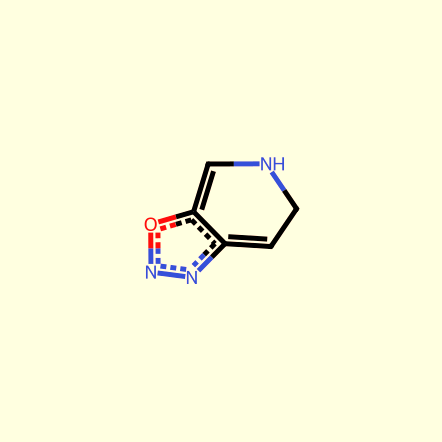 C1=c2nnoc2=CNC1